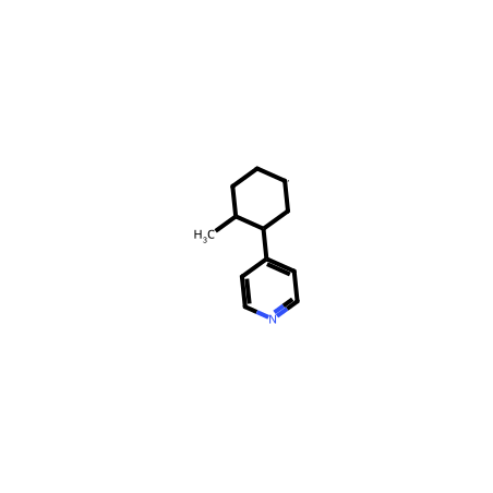 CC1CC[CH]CC1c1ccncc1